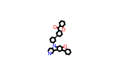 O=c1c2ccccc2oc2ccc(-c3cccc(-n4c5ccncc5c5cc6c(cc54)oc4ccccc46)c3)cc12